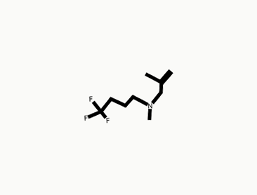 C=C(C)CN(C)CCCC(F)(F)F